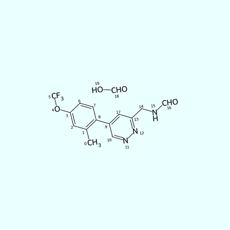 Cc1cc(OC(F)(F)F)ccc1-c1cnnc(CNC=O)c1.O=CO